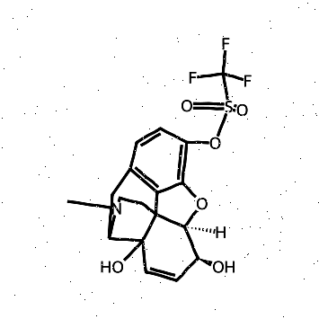 CN1CCC23c4c5ccc(OS(=O)(=O)C(F)(F)F)c4O[C@H]2[C@@H](O)C=CC3(O)C1C5